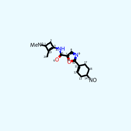 CNC1CC(NC(=O)c2cnc(C3=CCC(N=O)CC3)o2)=C1C